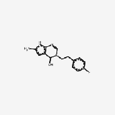 Nc1cc2c([nH]1)N=CN(CCc1ccc(F)cc1)C2O